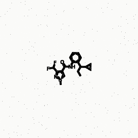 CCC(c1ccccc1NC(=O)c1cn(C)nc1C(F)F)C1CC1